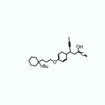 C=C=C(O)CC(C#CC)C1C=CC(OCCCC2(CCCC)CCCCC2)=CC1